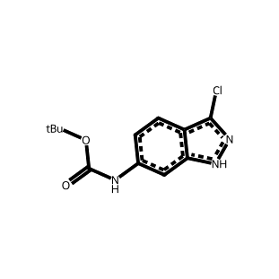 CC(C)(C)OC(=O)Nc1ccc2c(Cl)n[nH]c2c1